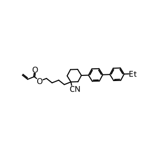 C=CC(=O)OCCCCC1(C#N)CCCC(c2ccc(-c3ccc(CC)cc3)cc2)C1